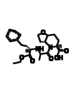 CCOC(=O)[C@H](CCc1ccccc1)NC(C)C(=O)N1C2CCOC2CC[C@H]1C(=O)O